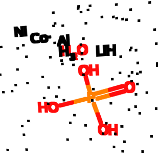 O.O=P(O)(O)O.[AlH3].[Co].[LiH].[Ni]